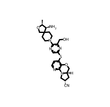 C[C@@H]1OCC2(CCN(c3ncc(Sc4ccnc5c4OC[C@@H]4C[C@H](C#N)CN54)nc3CO)CC2)[C@@H]1N